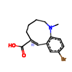 CN1CCCC/C(C(=O)O)=C\c2cc(Br)ccc21